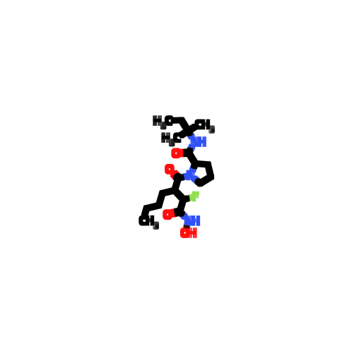 CCCCC(C(=O)N1CCCC1C(=O)NC(C)(C)CC)C(F)C(=O)NO